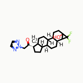 C[C@]12CC[C@@H]3[C@H]4CC[C@@]5(O)C([C@H]4CC[C@H]3[C@@H]1CC[C@@H]2C(=O)Cn1nccn1)C5(F)F